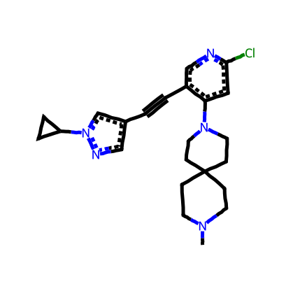 CN1CCC2(CC1)CCN(c1cc(Cl)ncc1C#Cc1cnn(C3CC3)c1)CC2